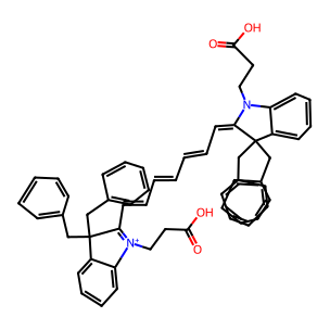 O=C(O)CCN1/C(=C/C=C/C=C/C=C/C2=[N+](CCC(=O)O)c3ccccc3C2(Cc2ccccc2)Cc2ccccc2)C(Cc2ccccc2)(Cc2ccccc2)c2ccccc21